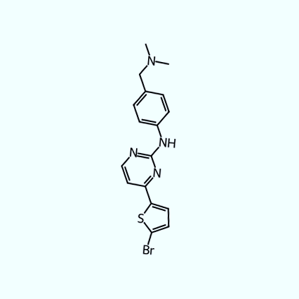 CN(C)Cc1ccc(Nc2nccc(-c3ccc(Br)s3)n2)cc1